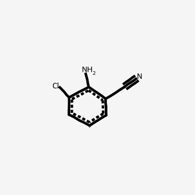 N#Cc1c[c]cc(Cl)c1N